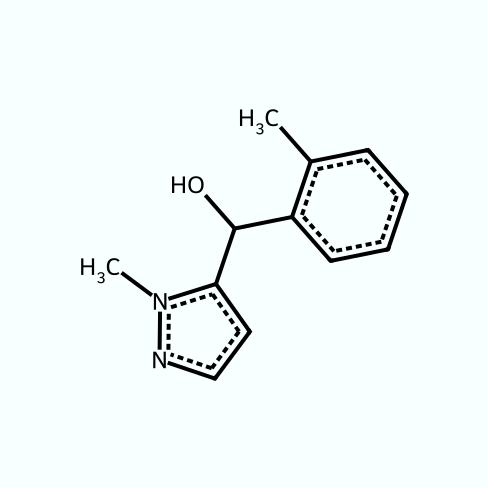 Cc1ccccc1C(O)c1ccnn1C